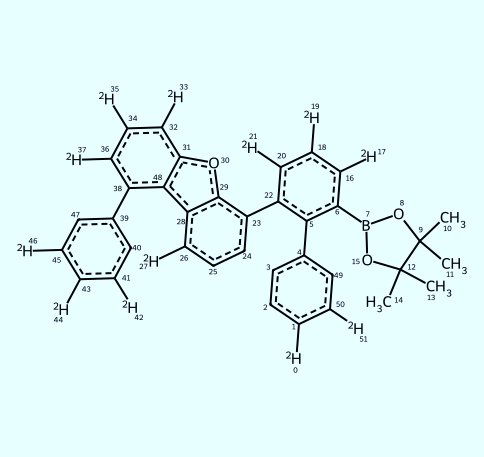 [2H]c1ccc(-c2c(B3OC(C)(C)C(C)(C)O3)c([2H])c([2H])c([2H])c2-c2ccc([2H])c3c2oc2c([2H])c([2H])c([2H])c(-c4cc([2H])c([2H])c([2H])c4)c23)cc1[2H]